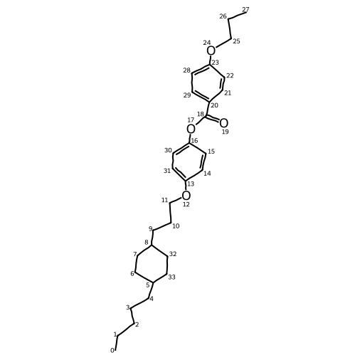 CCCCCC1CCC(CCCOc2ccc(OC(=O)c3ccc(OCCC)cc3)cc2)CC1